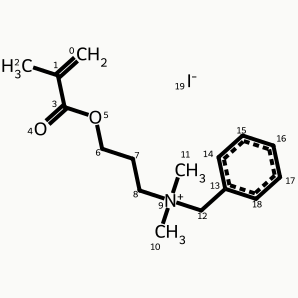 C=C(C)C(=O)OCCC[N+](C)(C)Cc1ccccc1.[I-]